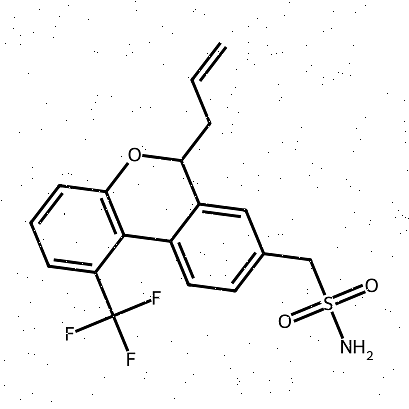 C=CCC1Oc2cccc(C(F)(F)F)c2-c2ccc(CS(N)(=O)=O)cc21